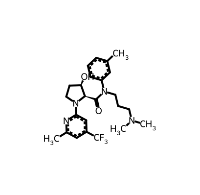 Cc1cccc(N(CCCN(C)C)C(=O)[C@@H]2[C@H](O)CCN2c2cc(C(F)(F)F)cc(C)n2)c1